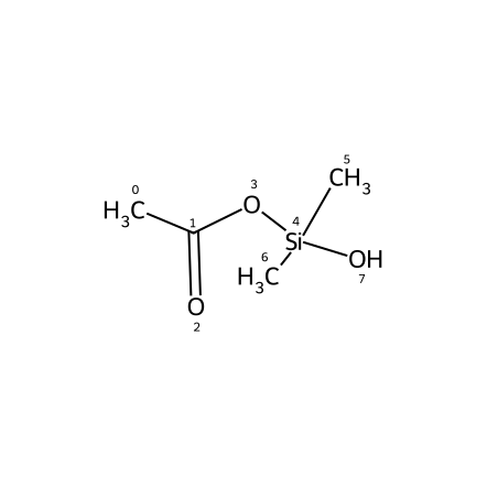 CC(=O)O[Si](C)(C)O